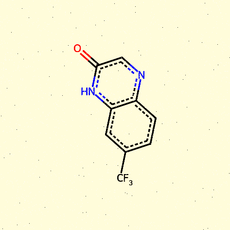 O=c1cnc2ccc(C(F)(F)F)cc2[nH]1